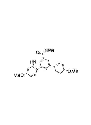 CNC(=O)c1cc(-c2ccc(OC)cc2)nc2c1[nH]c1cc(OC)ccc12